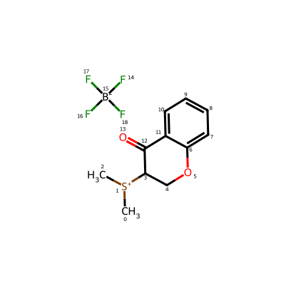 C[S+](C)C1COc2ccccc2C1=O.F[B-](F)(F)F